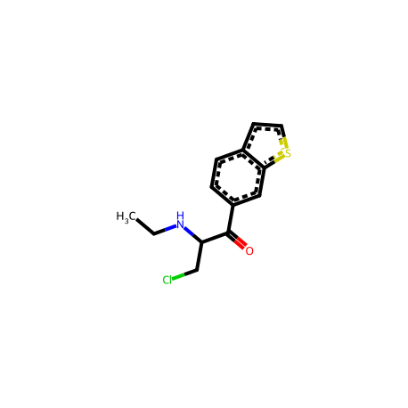 CCNC(CCl)C(=O)c1ccc2ccsc2c1